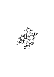 CCn1cc(C2=C(c3cn(Cc4ccccc4)c4cc(Br)ccc34)C(=O)NC2=O)c2ccccc21